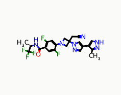 Cc1n[nH]cc1-c1cnn(C2(CC#N)CN(c3cc(F)c(C(=O)N[C@@H](C)C(F)(F)F)cc3F)C2)c1